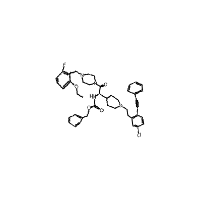 CCOc1cccc(F)c1CN1CCN(C(=O)[C@H](NC(=O)OCc2ccccc2)C2CCN(CCc3cc(Cl)ccc3C#Cc3ccccc3)CC2)CC1